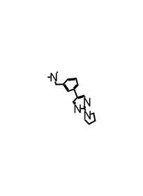 CN(C)Cc1cccc(-c2cnc(N3CCCC3)nc2)c1